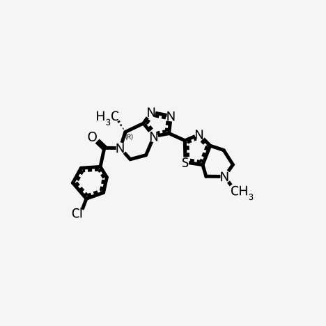 C[C@@H]1c2nnc(-c3nc4c(s3)CN(C)CC4)n2CCN1C(=O)c1ccc(Cl)cc1